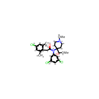 COC(=O)C1(N(C(=O)Cc2c(C)cc(Cl)cc2C)c2cc(Cl)cc(Cl)c2)CCN(OC)CC1